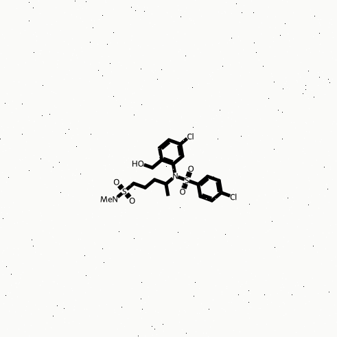 CNS(=O)(=O)CCCC(C)N(c1cc(Cl)ccc1CO)S(=O)(=O)c1ccc(Cl)cc1